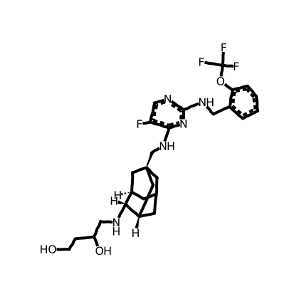 OCCC(O)CN[C@@H]1[C@@H]2CC3C[C@H]1C[C@@](CNc1nc(NCc4ccccc4OC(F)(F)F)ncc1F)(C3)C2